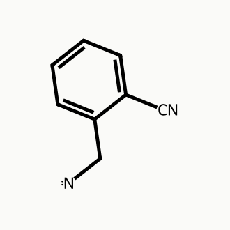 [N]Cc1ccccc1C#N